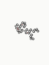 CC1(C)c2ccccc2-c2c(-c3c4cccc(-c5cccc6ccc7oc8ccccc8c7c56)c4cc4c(-c5ccc(CC6(C)c7ccccc7-c7c(-c8c9cccc(-c%10cccc%11c%10ccc%10oc%12ccccc%12c%10%11)c9cc9c(-c%10cccc%11c%10ccc%10oc%12ccccc%12c%10%11)cccc89)cccc76)c6ccc7oc8ccccc8c7c56)cccc34)cccc21